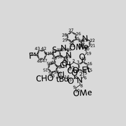 CCOC(=O)[C@@H](Cc1cc(CN(CCOC)C(=O)OC(C)(C)C)ccc1OCc1ccnc(-c2ccccc2OC)n1)Oc1ncnc2sc(-c3ccc(F)cc3)c(-c3ccc(C=O)c(Cl)c3C)c12